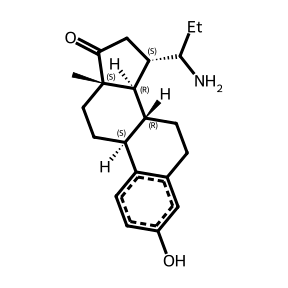 CCC(N)[C@H]1CC(=O)[C@@]2(C)CC[C@@H]3c4ccc(O)cc4CC[C@H]3[C@H]12